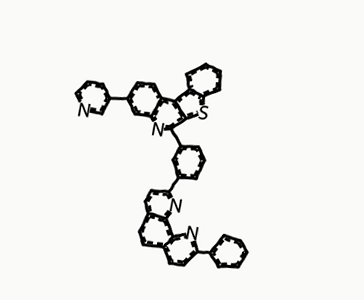 c1ccc(-c2ccc3ccc4ccc(-c5cccc(-c6nc7cc(-c8cccnc8)ccc7c7c6sc6ccccc67)c5)nc4c3n2)cc1